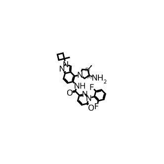 C[C@@H]1CN(c2c(NC(=O)c3ccc(=O)n(-c4c(F)cccc4F)n3)ccc3nn(C4(C)CCC4)cc23)C[C@@H]1N